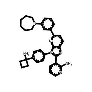 Nc1ncccc1-c1nc2ccc(-c3cccc(N4CCCCCC4)c3)nc2n1-c1ccc(C2(N)CCC2)cc1